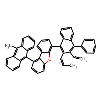 C=Cc1c(/C=C\C)c(-c2cccc3c2oc2cccc(-c4c5ccccc5c(C(F)(F)F)c5ccccc45)c23)c2ccccc2c1-c1ccccc1